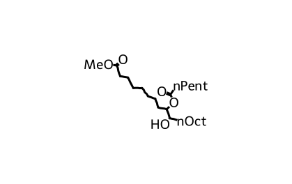 CCCCCCCCC(O)C(CCCCCCCC(=O)OC)OC(=O)CCCCC